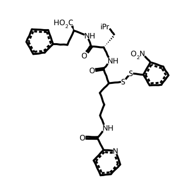 CC(C)C[C@H](NC(=O)C(CCCNC(=O)c1ccccn1)SSc1ccccc1[N+](=O)[O-])C(=O)N[C@@H](Cc1ccccc1)C(=O)O